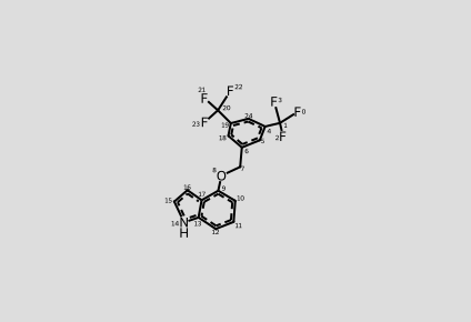 FC(F)(F)c1cc(COc2cccc3[nH]ccc23)cc(C(F)(F)F)c1